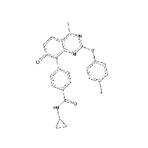 Cc1nc(Oc2ccc(F)cc2)nc2c1ccc(=O)n2-c1ccc(C(=O)NC2CC2)cc1